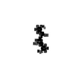 Cc1cn([C@H]2C[C@@H](O)[C@@H](COP(O)O[C@@H]3C[C@H](n4cc(C)c(=O)[nH]c4=O)O[C@@H]3CO)O2)c(=O)[nH]c1=O